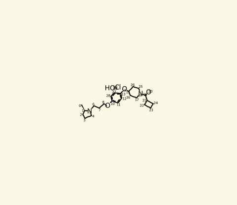 C[C@@H]1CCCN1CCCOc1ccc(OC2CCN(C(=O)C3CCC3)CC2)cc1.OCl